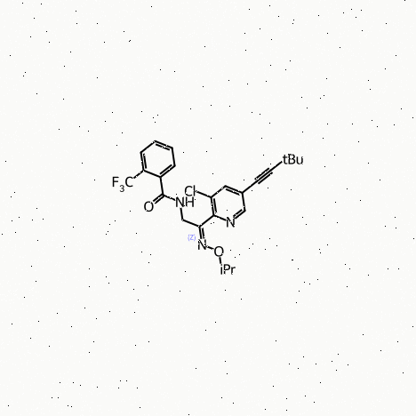 CC(C)O/N=C(/CNC(=O)c1ccccc1C(F)(F)F)c1ncc(C#CC(C)(C)C)cc1Cl